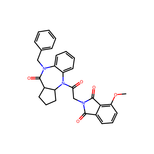 COc1cccc2c1C(=O)N(CC(=O)N1c3ccccc3N(Cc3ccccc3)C(=O)C3CCCC31)C2=O